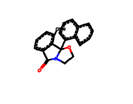 COc1cccc2c1C1(c3cccc4ccccc34)OCCN1C2=O